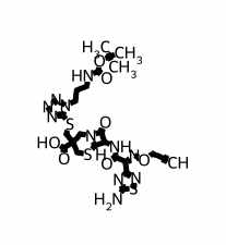 C#CCON=C(C(=O)NC1C(=O)N2CC(CSc3nnnn3CCCNC(=O)OC(C)(C)C)(C(=O)O)CS[C@H]12)c1nsc(N)n1